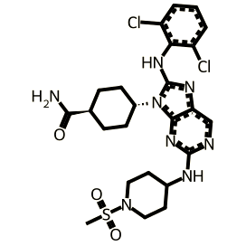 CS(=O)(=O)N1CCC(Nc2ncc3nc(Nc4c(Cl)cccc4Cl)n([C@H]4CC[C@H](C(N)=O)CC4)c3n2)CC1